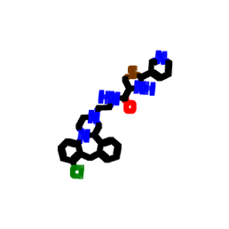 O=C(NCCN1CCN2c3cccc(Cl)c3Cc3ccccc3C2C1)C1CSC(c2cccnc2)N1